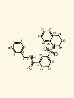 O=C(NCc1cccnc1)c1cccc(S(=O)(=O)N2CCCc3ccccc32)c1